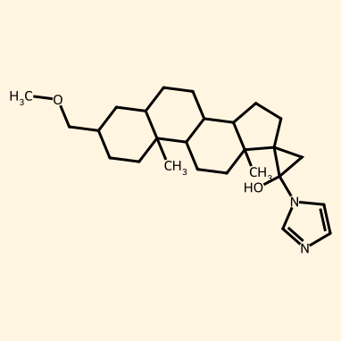 COCC1CCC2(C)C(CCC3C2CCC2(C)C3CCC23CC3(O)n2ccnc2)C1